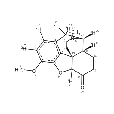 [2H]c1c([2H])c2c3c(c1OC)OC1([2H])C(=O)CC[C@]4([2H])[C@@]31CCN(C)[C@]4([2H])C2([2H])[2H]